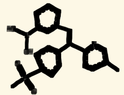 Cc1ccc(C(=Cc2cccc(B(O)O)c2)c2ccc(S(C)(=O)=O)cc2)nc1